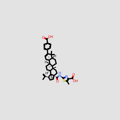 C=C(C)[C@@H]1CC[C@]2(C(=O)Nc3nc(C(=O)O)c(C)s3)CC[C@]3(C)[C@H](CC[C@@H]4[C@@]5(C)CC=C(c6ccc(C(=O)O)cc6)C(C)(C)[C@@H]5CC[C@]43C)[C@@H]12